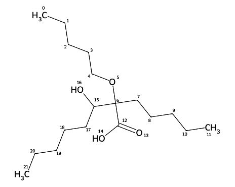 CCCCCOC(CCCCC)(C(=O)O)C(O)CCCCC